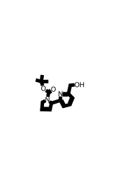 CC(C)(C)OC(=O)N1CC=CC1c1cccc(CO)n1